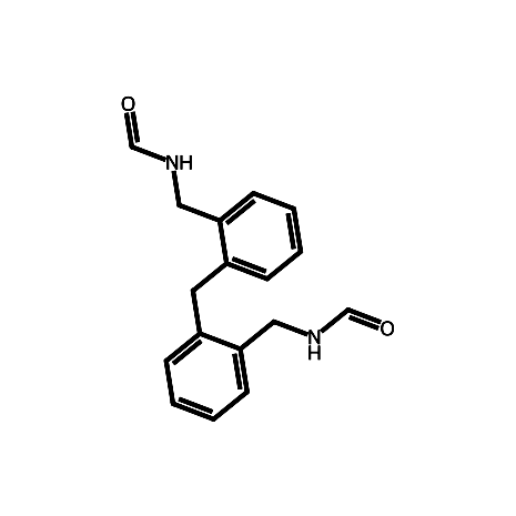 O=CNCc1ccccc1Cc1ccccc1CNC=O